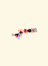 CCCN(CCC)S(=O)(=O)c1ccc(C(=O)OC(C)C(=O)OC[C@@H]2O[C@H](n3cc(/C=C/Br)c(=O)[nH]c3=O)CC2O)cc1